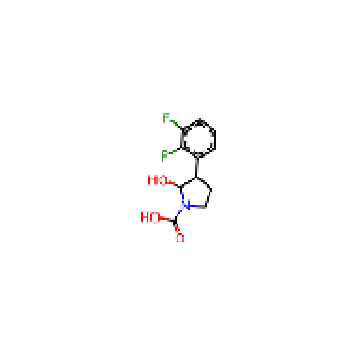 O=C(O)N1CCC(c2cccc(F)c2F)[C@@H]1O